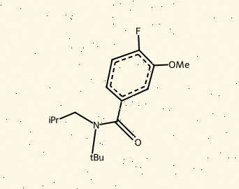 COc1cc(C(=O)N(CC(C)C)C(C)(C)C)ccc1F